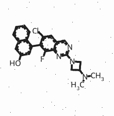 CN(C)C1CN(c2ncc3cc(Cl)c(-c4cc(O)cc5ccccc45)c(F)c3n2)C1